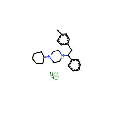 Cc1ccc(CC(c2ccccc2)N2CCN(C3CCCCC3)CC2)cc1.Cl.Cl